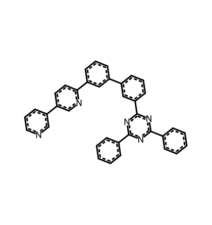 c1ccc(-c2nc(-c3ccccc3)nc(-c3cccc(-c4cccc(-c5ccc(-c6cccnc6)cn5)c4)c3)n2)cc1